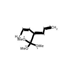 C=C/C=C(\C=C/C)C(OC)(OC)OC